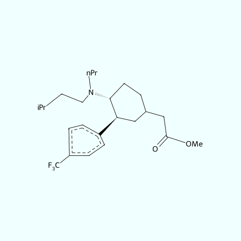 CCCN(CCC(C)C)[C@@H]1CCC(CC(=O)OC)C[C@H]1c1ccc(C(F)(F)F)cc1